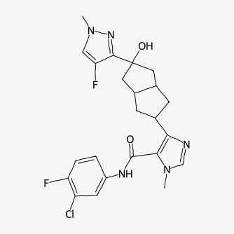 Cn1cc(F)c(C2(O)CC3CC(c4ncn(C)c4C(=O)Nc4ccc(F)c(Cl)c4)CC3C2)n1